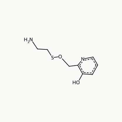 NCCSOCc1ncccc1O